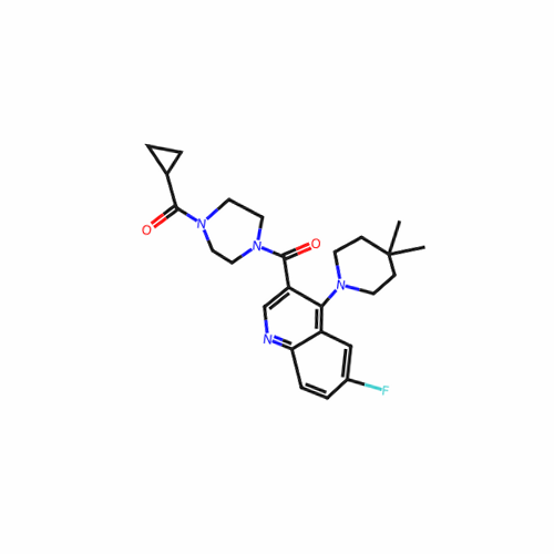 CC1(C)CCN(c2c(C(=O)N3CCN(C(=O)C4CC4)CC3)cnc3ccc(F)cc23)CC1